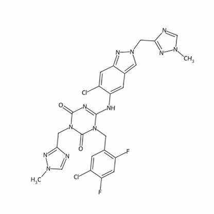 Cn1cnc(Cn2cc3cc(Nc4nc(=O)n(Cc5ncn(C)n5)c(=O)n4Cc4cc(Cl)c(F)cc4F)c(Cl)cc3n2)n1